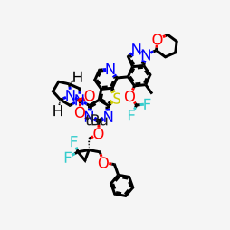 Cc1cc2c(cnn2C2CCCCO2)c(-c2nccc3c2sc2nc(OC[C@]4(COCc5ccccc5)CC4(F)F)nc(N4C[C@H]5CC[C@@H](C4)N5C(=O)OC(C)(C)C)c23)c1OC(F)F